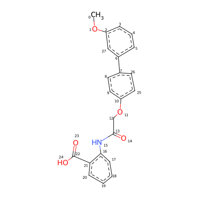 COc1cccc(-c2ccc(OCC(=O)Nc3ccccc3C(=O)O)cc2)c1